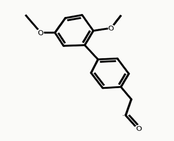 COc1ccc(OC)c(-c2ccc(C[C]=O)cc2)c1